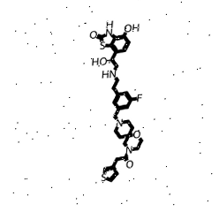 O=C(Cc1ccsc1)N1CCOC2(CCN(Cc3cc(F)cc(CCNC[C@H](O)c4ccc(O)c5[nH]c(=O)sc45)c3)CC2)C1